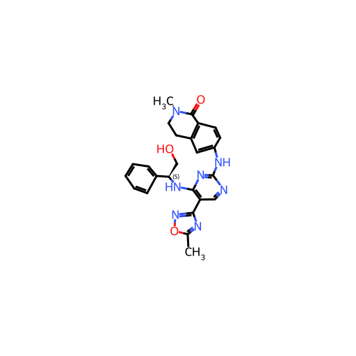 Cc1nc(-c2cnc(Nc3ccc4c(c3)CCN(C)C4=O)nc2N[C@H](CO)c2ccccc2)no1